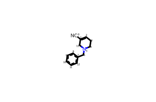 N#CC1=CCCN(Cc2ccccc2)C1